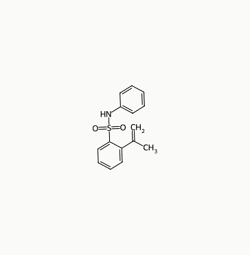 C=C(C)c1ccccc1S(=O)(=O)Nc1ccccc1